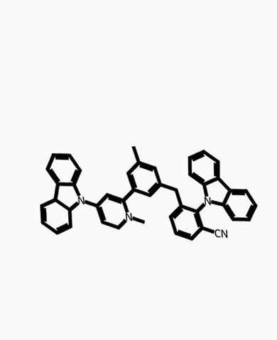 Cc1cc(Cc2cccc(C#N)c2-n2c3ccccc3c3ccccc32)cc(C2=CC(N3c4ccccc4C4C=CC=CC43)=CCN2C)c1